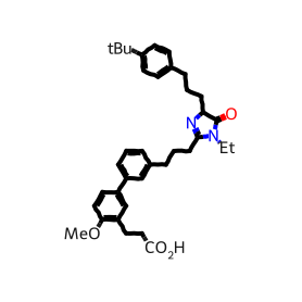 CCN1C(=O)C(CCCc2ccc(C(C)(C)C)cc2)N=C1CCCc1cccc(-c2ccc(OC)c(CCC(=O)O)c2)c1